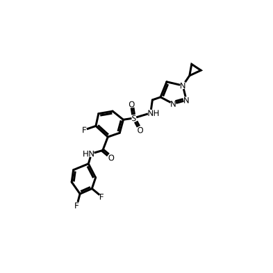 O=C(Nc1ccc(F)c(F)c1)c1cc(S(=O)(=O)NCc2cn(C3CC3)nn2)ccc1F